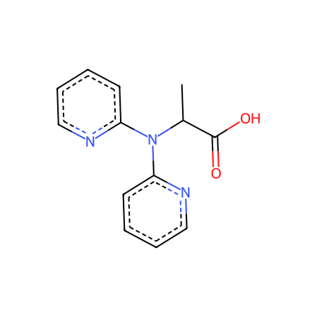 CC(C(=O)O)N(c1ccccn1)c1ccccn1